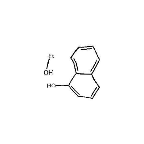 CCO.Oc1cccc2ccccc12